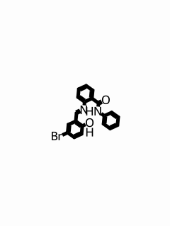 O=C(Nc1ccccc1)c1ccccc1/N=C/c1cc(Br)ccc1O